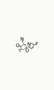 COC1(c2ccc(F)cn2)C=C(C#N)C(=O)C2(CC2)C1